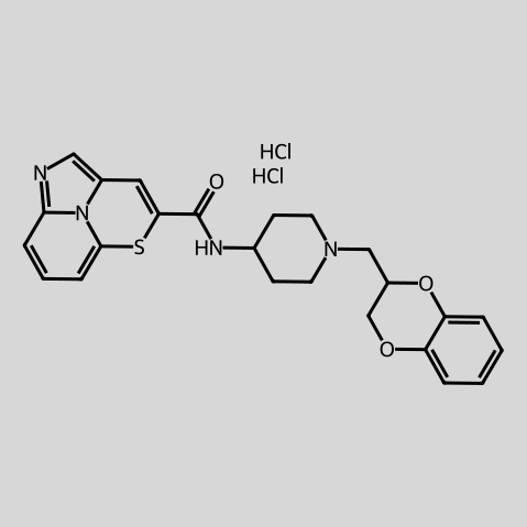 Cl.Cl.O=C(NC1CCN(CC2COc3ccccc3O2)CC1)C1=Cc2cnc3cccc(n23)S1